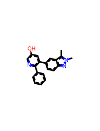 Cc1c2cc(-c3cc(O)cnc3-c3ccccc3)ccc2nn1C